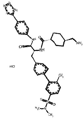 Cc1ccc(S(=O)(=O)N(C)C)cc1-c1ccc(C[C@H](NC(=O)[C@H]2CC[C@H](CN)CC2)C(=O)Nc2ccc(-c3nnn[nH]3)cc2)cc1.Cl